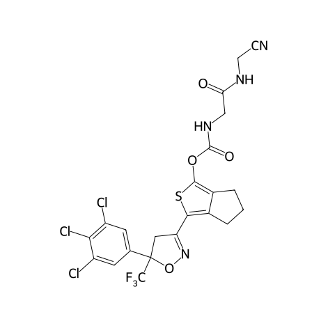 N#CCNC(=O)CNC(=O)Oc1sc(C2=NOC(c3cc(Cl)c(Cl)c(Cl)c3)(C(F)(F)F)C2)c2c1CCC2